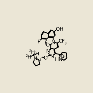 [2H]C([2H])([2H])N1CCC[C@H]1COc1nc(N2CC3CCC2CN3)c2cc(C(F)(F)F)n(-c3cc(O)cc4ccc(F)c(F)c34)c(=O)c2n1